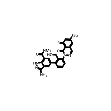 CNC(=O)c1cc(-c2cccc(-n3ncc4cc(C(C)(C)C)cc(F)c4c3=O)c2CO)cc2c(N)n[nH]c12